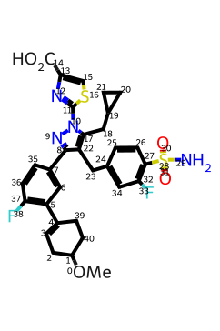 COC1CC=C(c2cc(-c3nn(-c4nc(C(=O)O)cs4)c(CC4CC4)c3Cc3ccc(S(N)(=O)=O)c(F)c3)ccc2F)CC1